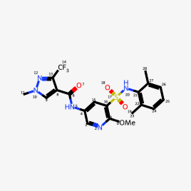 COc1ncc(NC(=O)c2cn(C)nc2C(F)(F)F)cc1S(=O)(=O)Nc1c(C)cccc1C